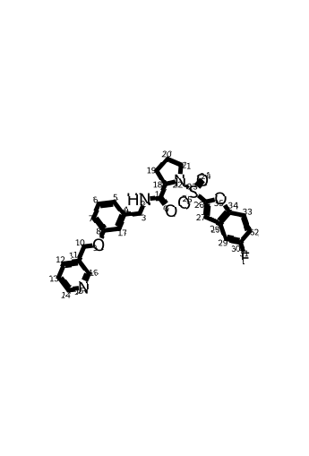 O=C(NCc1cccc(OCc2cccnc2)c1)C1CCCN1S(=O)(=O)c1cc2cc(F)ccc2o1